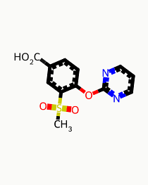 CS(=O)(=O)c1cc(C(=O)O)ccc1Oc1ncccn1